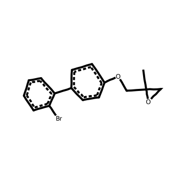 CC1(COc2ccc(-c3ccccc3Br)cc2)CO1